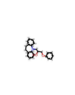 OC(COc1ccccc1)CN1c2ccccc2CCc2ccccc21